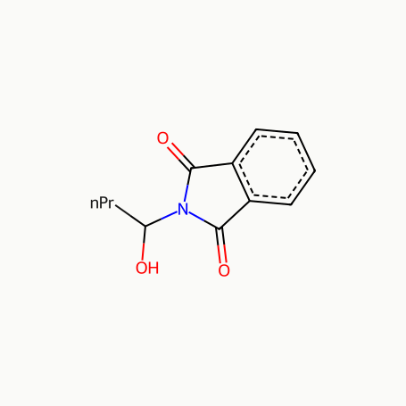 CCCC(O)N1C(=O)c2ccccc2C1=O